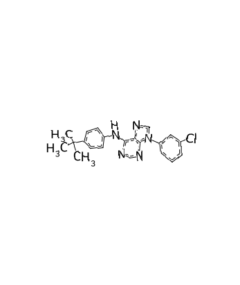 CC(C)(C)c1ccc(Nc2ncnc3c2ncn3-c2cccc(Cl)c2)cc1